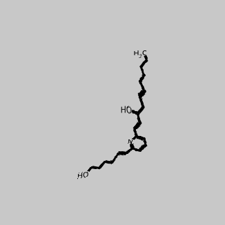 CCCCCC=CCC(O)C=Cc1cccc(C=CCCCCO)n1